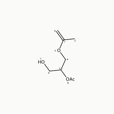 C=C(C)OCC(CO)OC(C)=O